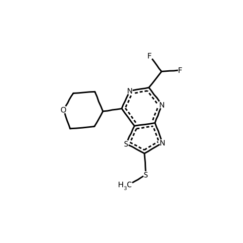 CSc1nc2nc(C(F)F)nc(C3CCOCC3)c2s1